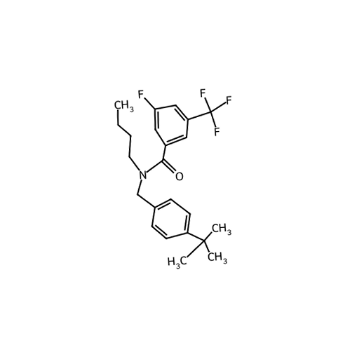 CCCCN(Cc1ccc(C(C)(C)C)cc1)C(=O)c1cc(F)cc(C(F)(F)F)c1